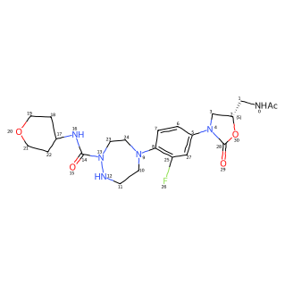 CC(=O)NC[C@H]1CN(c2ccc(N3CCNN(C(=O)NC4CCOCC4)CC3)c(F)c2)C(=O)O1